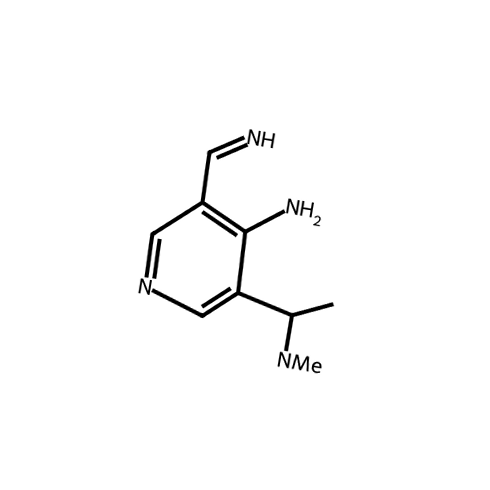 CNC(C)c1cncc(C=N)c1N